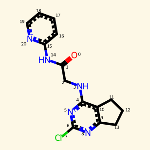 O=C(CNc1nc(Cl)nc2c1CCC2)Nc1ccccn1